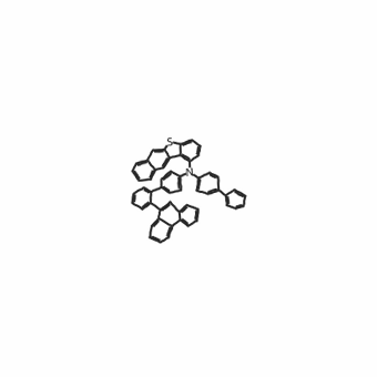 c1ccc(-c2ccc(N(c3ccc(-c4ccccc4-c4cc5ccccc5c5ccccc45)cc3)c3cccc4sc5cc6ccccc6cc5c34)cc2)cc1